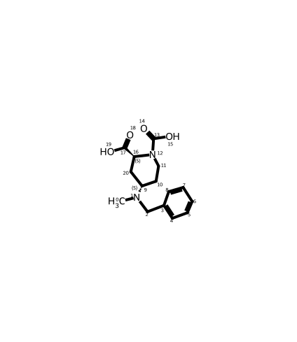 CN(Cc1ccccc1)[C@H]1CCN(C(=O)O)[C@H](C(=O)O)C1